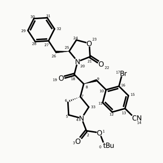 CC(C)(C)OC(=O)N1CC[C@H]([C@H](Cc2ccc(C#N)cc2Br)C(=O)N2C(=O)OC[C@@H]2Cc2ccccc2)C1